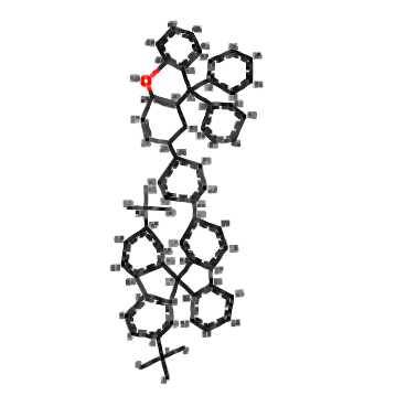 CC(C)(C)c1ccc2c(c1)C1(c3ccccc3-c3ccc(-c4ccc(C5C=CC6=C(C5)C(c5ccccc5)(c5ccccc5)c5ccccc5O6)cc4)cc31)c1cc(C(C)(C)C)ccc1-2